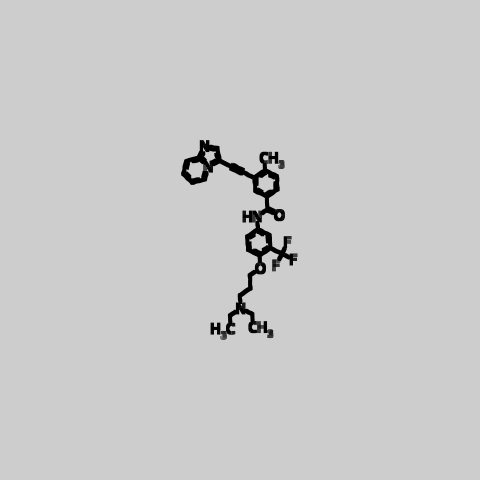 CCN(CC)CCCOc1ccc(NC(=O)c2ccc(C)c(C#Cc3cnc4ccccn34)c2)cc1C(F)(F)F